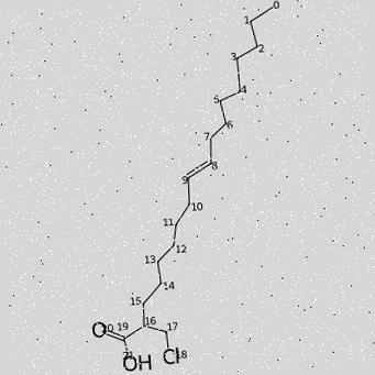 CCCCCCCC/C=C/CCCCCCC(CCl)C(=O)O